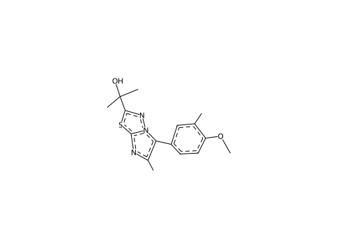 COc1ccc(-c2c(C)nc3sc(C(C)(C)O)nn23)cc1C